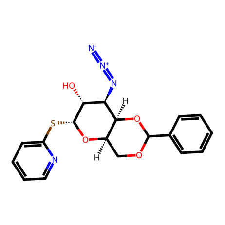 [N-]=[N+]=N[C@@H]1[C@@H](O)[C@@H](Sc2ccccn2)O[C@@H]2COC(c3ccccc3)O[C@H]12